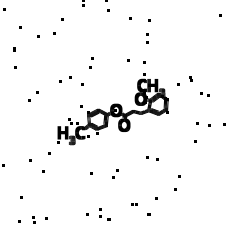 COc1ccccc1CCC(=O)Oc1ccc(C)cc1